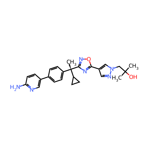 CC(C)(O)Cn1cc(-c2nc([C@@](C)(c3ccc(-c4ccc(N)nc4)cc3)C3CC3)no2)cn1